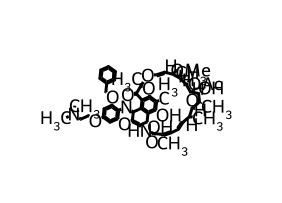 CO[C@H]1/C=C/O[C@@]2(C)Oc3c(C)c(O)c4c(c3C2=O)C2=Nc3c(OCc5ccccc5)cc(OCCN(C)C)cc3OC2=C(NC(=O)/C(C)=C\C=C\[C@H](C)[C@@H]2O[C@H]([C@H](O)[C@@H]2C)[C@H](OC(C)=O)[C@@H]1C)C4O